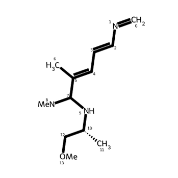 C=N/C=C/C=C(\C)C(NC)N[C@H](C)COC